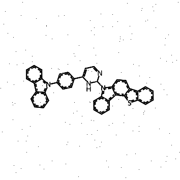 C1=NC(n2c3ccccc3c3c4sc5ccccc5c4ccc32)NC(c2ccc(-n3c4ccccc4c4ccccc43)cc2)=C1